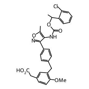 COc1ccc(CC(=O)O)cc1Cc1ccc(-c2noc(C)c2NC(=O)OC(C)c2ccccc2Cl)cc1